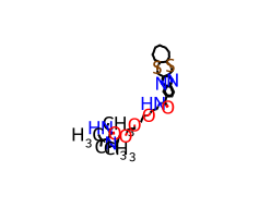 CNC(=O)C(C(C)C)N(C)CCOCCOCCOCCNC(=O)c1ccc2nc3c(nc2c1)CSC1CCCCCCCC1SC3